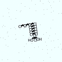 ClCCl.ClCCl.ClCCl.ClCCl.ClCCl.ClCCl.ClCCl.OCC(Cl)(Cl)CO